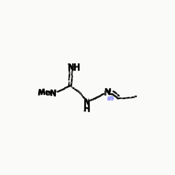 C/C=N/NC(=N)NC